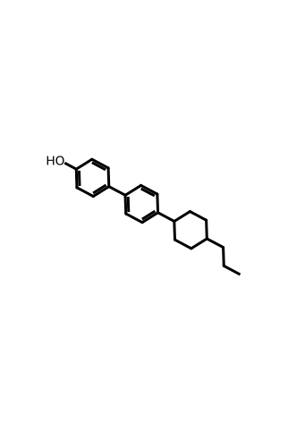 CCCC1CCC(c2ccc(-c3ccc(O)cc3)cc2)CC1